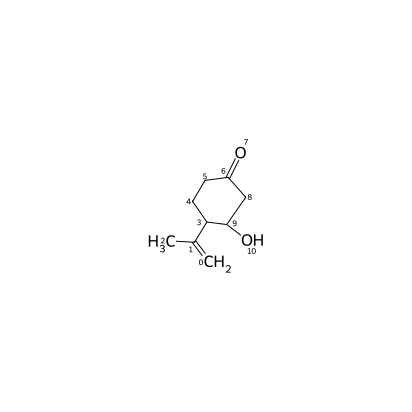 C=C(C)C1CCC(=O)CC1O